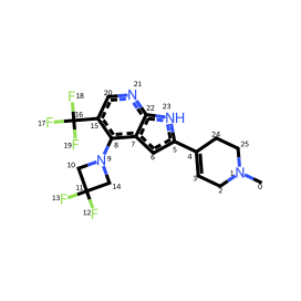 CN1CC=C(c2cc3c(N4CC(F)(F)C4)c(C(F)(F)F)cnc3[nH]2)CC1